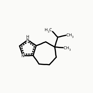 CC(C)C1(C)CCCc2nc[nH]c2C1